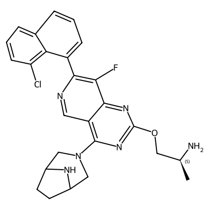 C[C@H](N)COc1nc(N2CC3CCC(C2)N3)c2cnc(-c3cccc4cccc(Cl)c34)c(F)c2n1